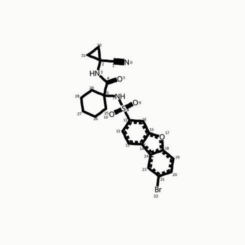 N#CC1(NC(=O)C2(NS(=O)(=O)c3ccc4c(c3)oc3ccc(Br)cc34)CCCCC2)CC1